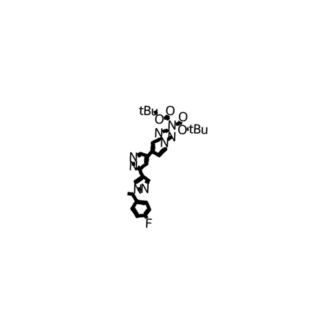 CC(c1ccc(F)cc1)n1cc(-c2cc(-c3ccn4nc(N(C(=O)OC(C)(C)C)C(=O)OC(C)(C)C)nc4c3)cnn2)cn1